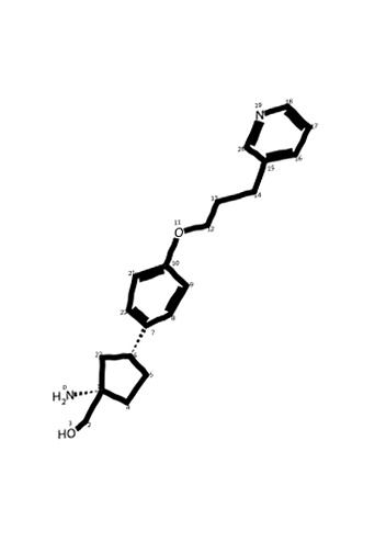 N[C@@]1(CO)CC[C@@H](c2ccc(OCCCc3cccnc3)cc2)C1